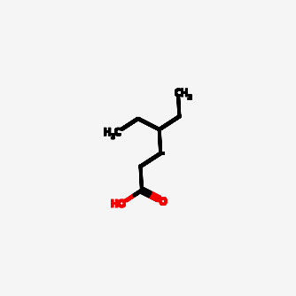 CCC([CH]CC(=O)O)CC